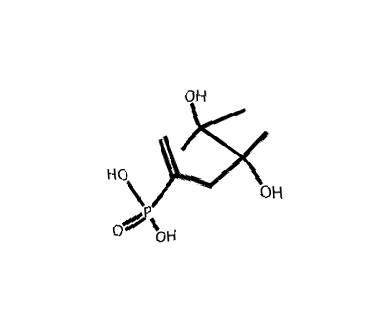 C=C(CC(C)(O)C(C)(C)O)P(=O)(O)O